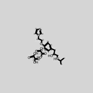 CC(C)NCC(O)Cc1ccc(OCCn2ccnc2)cc1.O=C(O)C(=O)O.O=C(O)C(=O)O